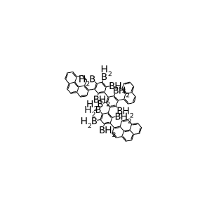 Bc1c(B)c(-c2c(B)c(-c3c(B)c(B)c(B)c(-c4ccc5ccc6cccc7ccc4c5c67)c3B)c(B)c(-c3cccc4ccccc34)c2B)c(B)c(-c2ccc3ccc4cccc5ccc2c3c45)c1B